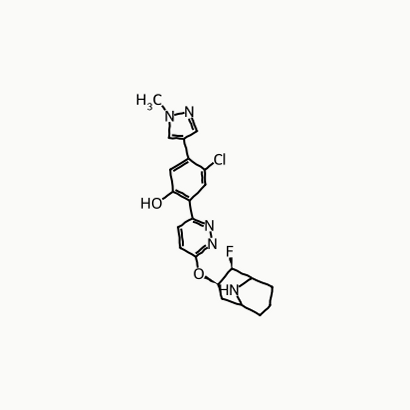 Cn1cc(-c2cc(O)c(-c3ccc(O[C@@H]4CC5CCCC(N5)[C@@H]4F)nn3)cc2Cl)cn1